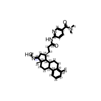 CN(C)C(=O)c1ccc(NC(=O)CC[C@@H]2C/C(=N\O)[C@@]3(C)CCC4c5cccc(F)c5CCC4C23)nc1